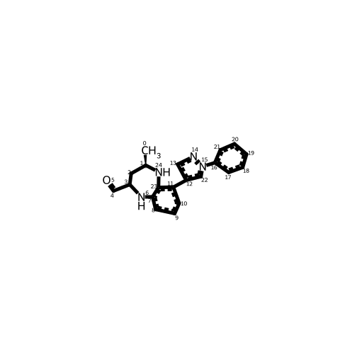 C[C@@H]1CC(C=O)Nc2cccc(-c3cnn(-c4ccccc4)c3)c2N1